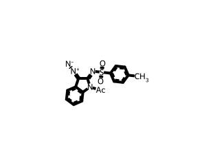 CC(=O)N1C(=NS(=O)(=O)c2ccc(C)cc2)C(=[N+]=[N-])c2ccccc21